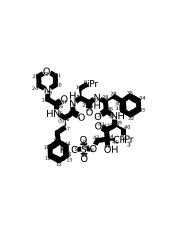 CC(C)C[C@H](NC(=O)[C@H](CCc1ccccc1)NC(=O)CN1CCOCC1)C(=O)N[C@@H](Cc1ccccc1)C(=O)N[C@@H](CC(C)C)C(=O)[C@](C)(O)COS(C)(=O)=O